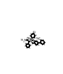 N#Cc1ccccc1-c1ccc(CN(C(C(N)=O)c2ccccc2)S(=O)(=O)c2ccc(Cl)cc2)cc1